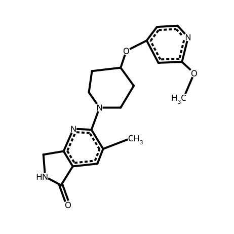 COc1cc(OC2CCN(c3nc4c(cc3C)C(=O)NC4)CC2)ccn1